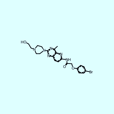 Cc1nc(N2CCN(CCO)CC2)nc2ccc(NC(=O)COc3ccc(Br)cc3)nc12